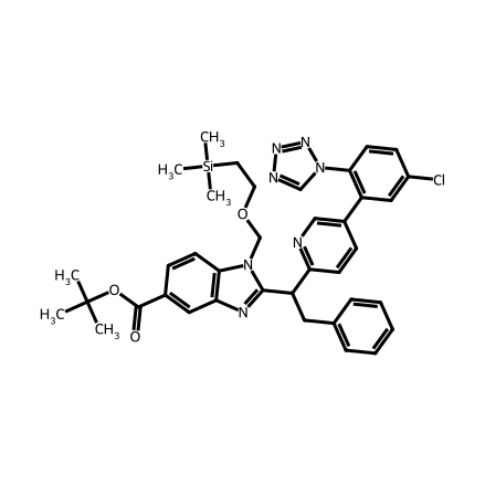 CC(C)(C)OC(=O)c1ccc2c(c1)nc(C(Cc1ccccc1)c1ccc(-c3cc(Cl)ccc3-n3cnnn3)cn1)n2COCC[Si](C)(C)C